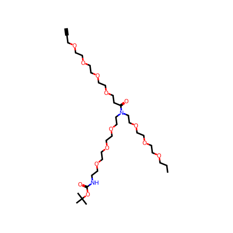 C#CCOCCOCCOCCOCCC(=O)N(CCOCCOCCOCCC)CCOCCOCCOCCNC(=O)OC(C)(C)C